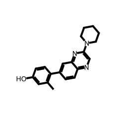 Cc1cc(O)ccc1-c1ccc2ncc(N3CCCCC3)nc2c1